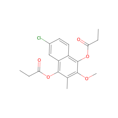 CCC(=O)Oc1c(C)c(OC)c(OC(=O)CC)c2ccc(Cl)cc12